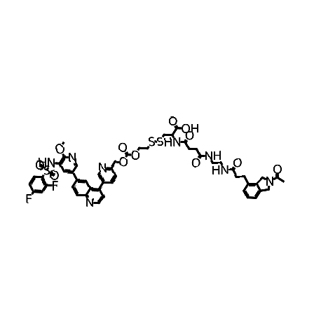 COc1ncc(-c2ccc3nccc(-c4ccc(COC(=O)OCCSSCC(NC(=O)CCC(=O)NCCNC(=O)CCc5cccc6c5CN(C(C)=O)C6)C(=O)O)nc4)c3c2)cc1NS(=O)(=O)c1ccc(F)cc1F